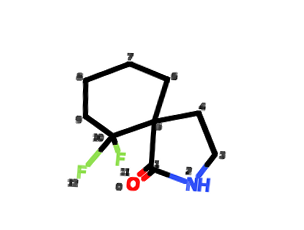 O=C1NCCC12CCCCC2(F)F